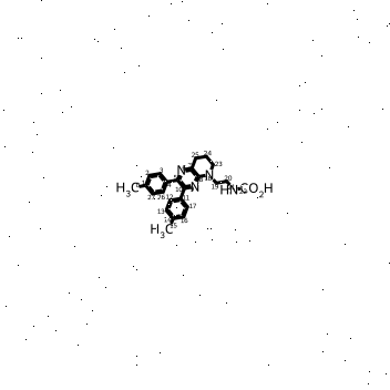 Cc1ccc(-c2nc3c(nc2-c2ccc(C)cc2)N(CCNC(=O)O)CCC3)cc1